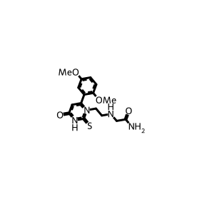 COc1ccc(OC)c(-c2cc(=O)[nH]c(=S)n2CCNCC(N)=O)c1